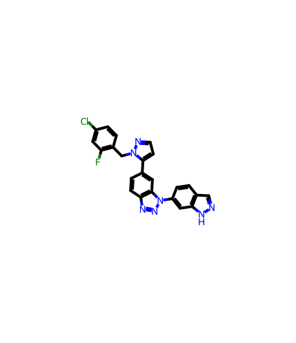 Fc1cc(Cl)ccc1Cn1nccc1-c1ccc2nnn(-c3ccc4cn[nH]c4c3)c2c1